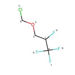 FC(CO[CH]Cl)C(F)(F)F